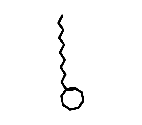 CCCCCCCCCCC1=CCCCCCC1